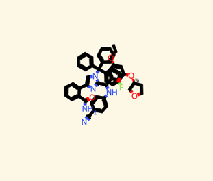 CCOc1cc(O[C@H]2CCOC2)c(F)c(C(Nc2ccc(C#N)cc2)c2nc(-c3ccccc3C(N)=O)cn2C(c2ccccc2)(c2ccccc2)c2ccccc2)c1